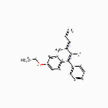 C=C/C=C(C)/C(CC)=C(/c1ccccc1)c1ccc(OCC(=O)O)cc1